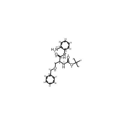 CC(C)(C)OC(=O)NC(COCc1ccccc1)C(=O)Nc1ccccc1N